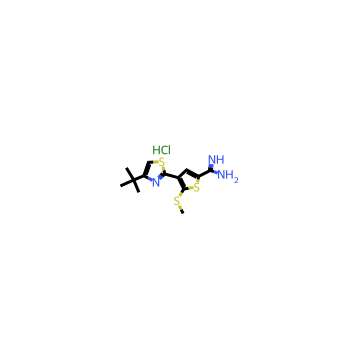 CSc1sc(C(=N)N)cc1-c1nc(C(C)(C)C)cs1.Cl